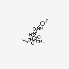 Cn1c(=O)c2c(ncn2CC(=O)NCc2ccc(F)cc2)n(C)c1=O